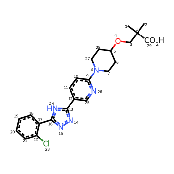 CC(C)(COC1CCN(c2ccc(-c3nnc(-c4ccccc4Cl)[nH]3)cn2)CC1)C(=O)O